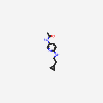 CC(=O)Nc1ccc(NCCC2CC2)nc1